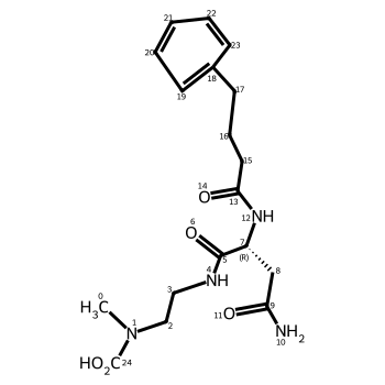 CN(CCNC(=O)[C@@H](CC(N)=O)NC(=O)CCCc1ccccc1)C(=O)O